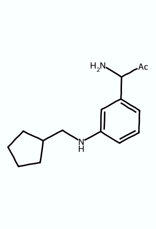 CC(=O)C(N)c1cccc(NCC2CCCC2)c1